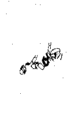 O=C(COc1ccc(C2=NNC(=O)NC2)cc1)NCCN1CCOCC1